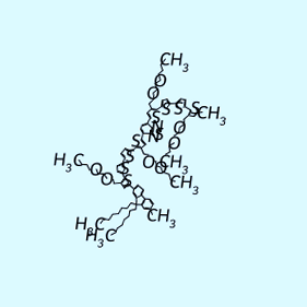 CCCCCCCCC1(CCCCCCCC)c2cc(C)ccc2-c2ccc(-c3cc(CCOCCOCCCC)c(-c4ccc(-c5ccc(-c6sc(-c7ccc(-c8cc(CCOCCOCCCC)c(-c9ccc(-c%10ccc(-c%11sc(C)cc%11CCOCCOCCCC)s%10)s9)s8)c8nsnc78)cc6CCOCCOCCCC)s5)s4)s3)cc21